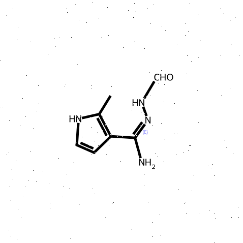 Cc1[nH]ccc1/C(N)=N\NC=O